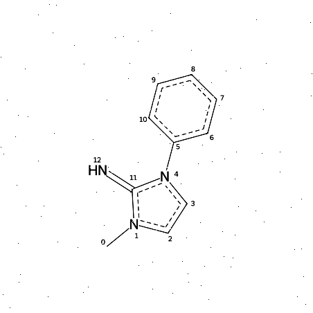 Cn1ccn(-c2ccccc2)c1=N